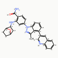 Cc1nn(-c2ccc(C(N)=O)c(NC3CC4CCC3O4)c2)c2cccc(-c3cnc4ccccc4c3)c12